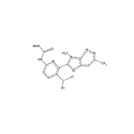 CC[S+]([O-])c1ccc(NC(=O)NC)nc1-c1nc2cc(C(F)(F)F)nnc2n1C